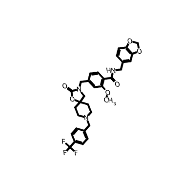 COc1cc(CN2CC3(CCN(Cc4ccc(C(F)(F)F)cc4)CC3)OC2=O)ccc1C(=O)NCc1ccc2c(c1)OCO2